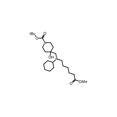 COC(=O)CCCCCN(CC1(O)CCN(C(=O)OC(C)(C)C)CC1)C1CCCCC1